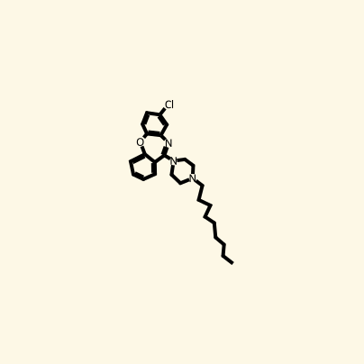 CCCCCCCCCN1CCN(C2=Nc3cc(Cl)ccc3Oc3ccccc32)CC1